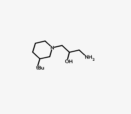 CC(C)(C)C1CCCN(CC(O)CN)C1